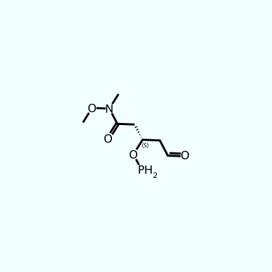 CON(C)C(=O)C[C@H](CC=O)OP